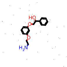 NCCOc1cccc(OC[C@@H](O)c2ccccc2)c1